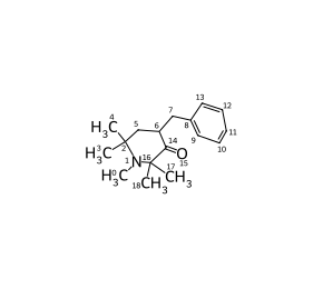 CN1C(C)(C)CC(Cc2ccccc2)C(=O)C1(C)C